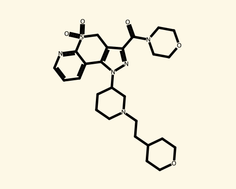 O=C(c1nn(C2CCCN(CCC3CCOCC3)C2)c2c1CS(=O)(=O)c1ncccc1-2)N1CCOCC1